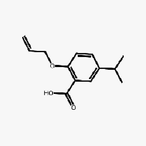 C=CCOc1ccc(C(C)C)cc1C(=O)O